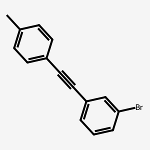 Cc1ccc(C#Cc2cccc(Br)c2)cc1